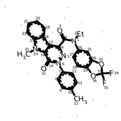 CCN(C(=O)c1nn(-c2ccc(C)cc2)c(=O)c2c1c1ccccc1n2C)c1ccc2c(c1)OC(F)(F)O2